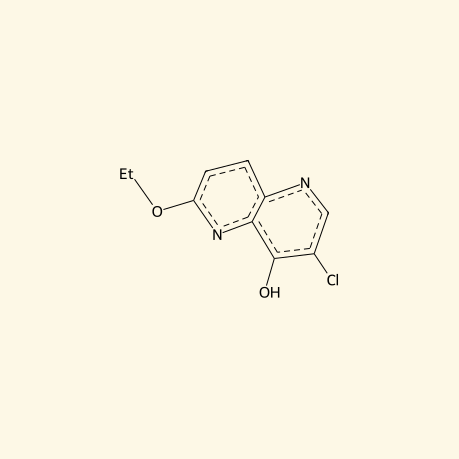 CCOc1ccc2ncc(Cl)c(O)c2n1